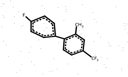 Cc1cc(C(F)(F)F)ccc1-c1ccc(F)cc1